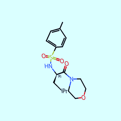 Cc1ccc(S(=O)(=O)N[C@H](CC(C)C)C(=O)N2CCOCC2)cc1